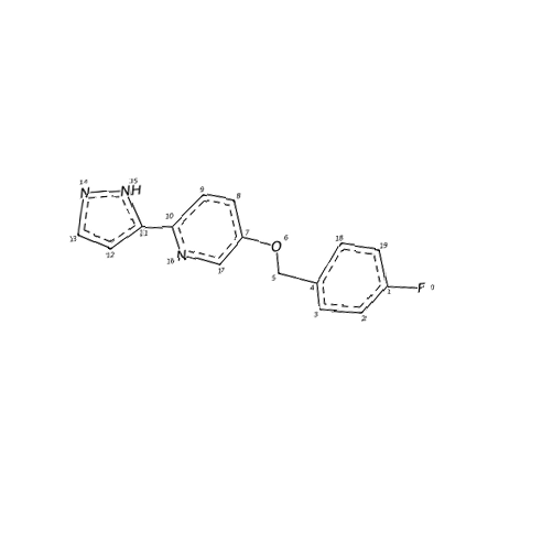 Fc1ccc(COc2ccc(-c3ccn[nH]3)nc2)cc1